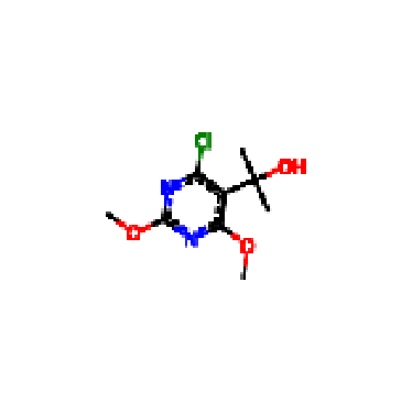 COc1nc(Cl)c(C(C)(C)O)c(OC)n1